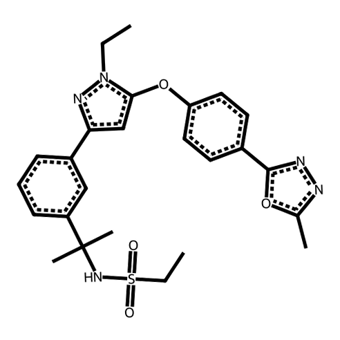 CCn1nc(-c2cccc(C(C)(C)NS(=O)(=O)CC)c2)cc1Oc1ccc(-c2nnc(C)o2)cc1